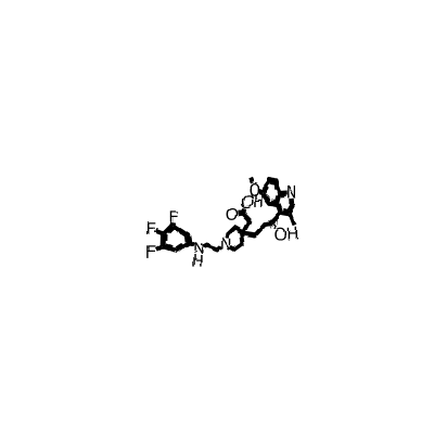 COc1ccc2ncc(C)c([C@H](O)CCC3(CC(=O)O)CCN(CCNc4cc(F)c(F)c(F)c4)CC3)c2c1